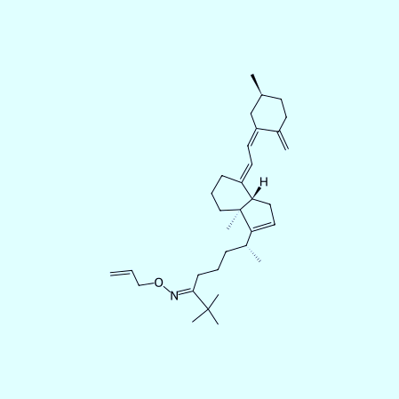 C=CCO/N=C(\CCC[C@@H](C)C1=CC[C@H]2/C(=C/C=C3/C[C@@H](C)CCC3=C)CCC[C@]12C)C(C)(C)C